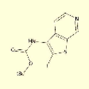 CC(C)(C)OC(=O)Nc1c(I)sc2cnccc12